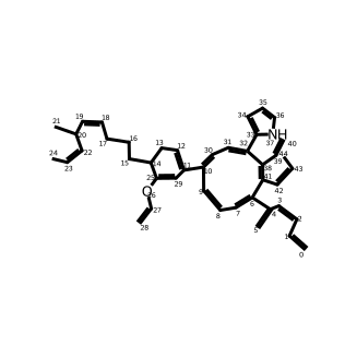 C=C/C=C\C(=C)c1cccc(C2=CCC(CCC/C=C\C(C)/C=C\C)C(OC=C)=C2)ccc(-c2ccc[nH]2)c(C=C)c1/C=C\C